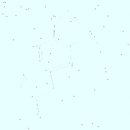 COc1nc2ccc(N)cc2nc1OC